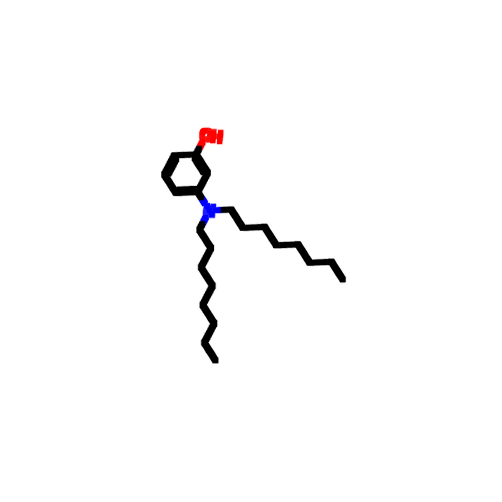 CCCCCCCCN(CCCCCCCC)c1cccc(O)c1